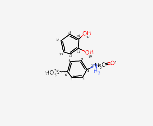 C=O.Nc1ccc(S(=O)(=O)O)cc1.Oc1ccccc1O